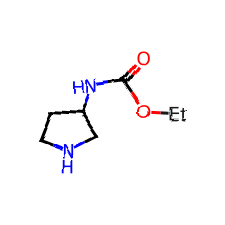 CCOC(=O)N[C]1CCNC1